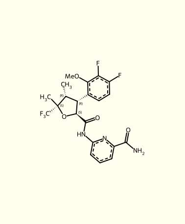 COc1c([C@@H]2[C@@H](C(=O)Nc3cccc(C(N)=O)n3)O[C@](C)(C(F)(F)F)[C@@H]2C)ccc(F)c1F